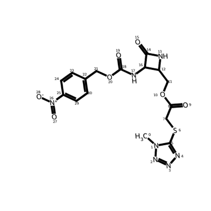 Cn1nnnc1SCC(=O)OCC1NC(=O)C1NC(=O)OCc1ccc([N+](=O)[O-])cc1